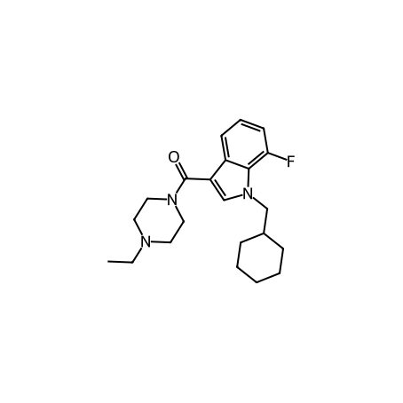 CCN1CCN(C(=O)c2cn(CC3CCCCC3)c3c(F)cccc23)CC1